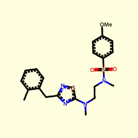 COc1ccc(S(=O)(=O)N(C)CCN(C)c2nc(Cc3ccccc3C)ns2)cc1